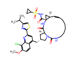 COc1ccc2c(C[C@@H]3C[C@H]4C(=O)N[C@]5(C(=O)NS(=O)(=O)C6CC6)C[C@H]5/C=C\CCCCCNC(=O)N4C3)cc(-c3nc(C(C)C)cs3)nc2c1Cl